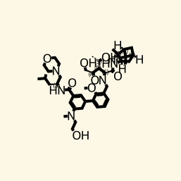 COc1c(CN2O[C@@H](CO)[C@@H]([C@H](C)O)[C@H]2C(=O)N[C@H]2C[C@H]3C[C@@H]([C@@H]2C)C3(C)C)cccc1C1C=C(C(=O)N[C@@H](CC(C)C)CN2CCOCC2)C=C(N(C)CCO)C1